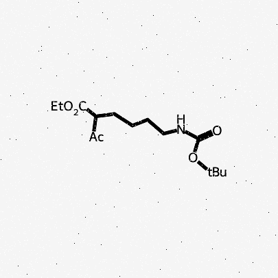 CCOC(=O)C(CCCCNC(=O)OC(C)(C)C)C(C)=O